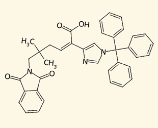 CC(C)(CC=C(C(=O)O)c1cn(C(c2ccccc2)(c2ccccc2)c2ccccc2)cn1)CN1C(=O)c2ccccc2C1=O